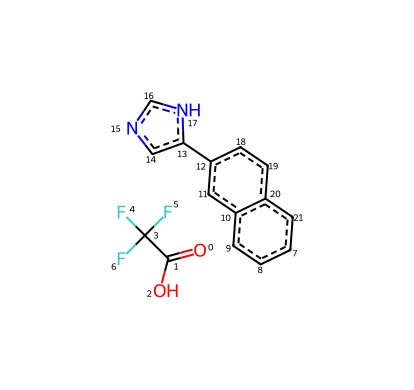 O=C(O)C(F)(F)F.c1ccc2cc(-c3cnc[nH]3)ccc2c1